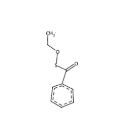 [CH2]COSC(=O)c1ccccc1